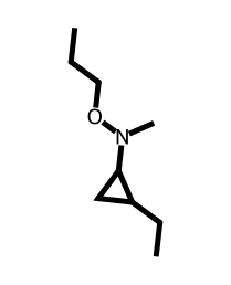 CCCON(C)C1CC1CC